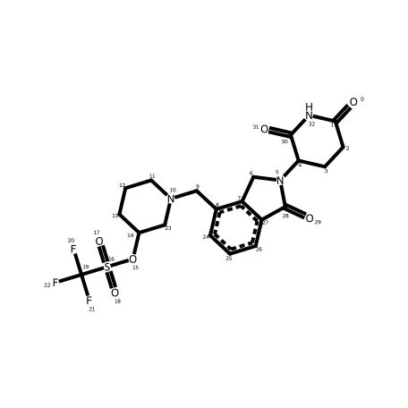 O=C1CCC(N2Cc3c(CN4CCCC(OS(=O)(=O)C(F)(F)F)C4)cccc3C2=O)C(=O)N1